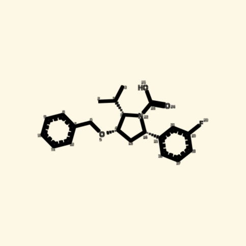 CC(C)[C@H]1[C@@H](OCc2ccccc2)C[C@@H](c2cccc(F)c2)N1C(=O)O